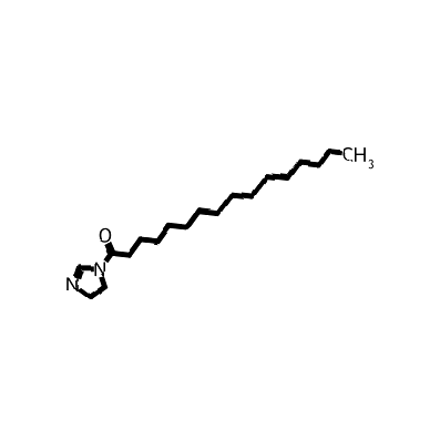 CCCCCCCCCCCCCCCC(=O)N1C=NCC1